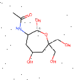 CC(=O)NC1CC(O)CC(CO)(CO)O[C@H]1O